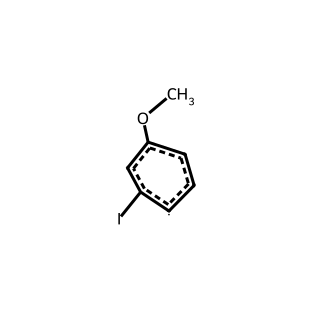 COc1cc[c]c(I)c1